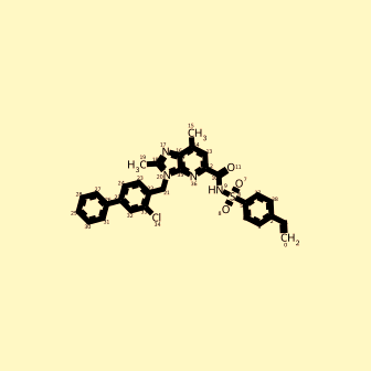 C=Cc1ccc(S(=O)(=O)NC(=O)c2cc(C)c3nc(C)n(Cc4ccc(-c5ccccc5)cc4Cl)c3n2)cc1